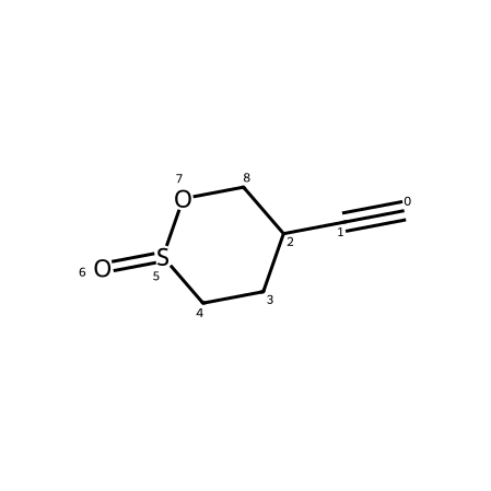 C#CC1CCS(=O)OC1